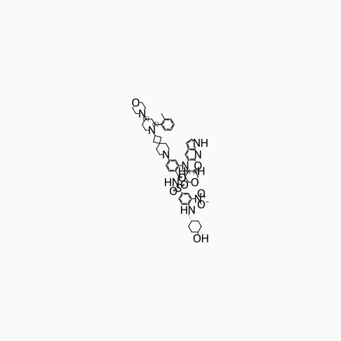 Cc1ccccc1[C@@H]1C[C@@H](N2CCOCC2)CCN1C1CC2(CCN(c3ccc(C(=O)NS(=O)(=O)c4ccc(NC[C@H]5CC[C@](C)(O)CC5)c([N+](=O)[O-])c4)c(N4c5cc6cc[nH]c6nc5O[C@H]5COCC[C@@H]54)c3)CC2)C1